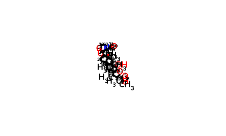 C[C@@H]1CC([C@@H]2OCOC2(C)C)OC2[C@H]1[C@@]1(C)CC[C@@]34C[C@@]35CCC(O[C@H]3CN(C6COC6)CCO3)C(C)(C)[C@@H]5CCC4[C@]1(C)[C@H]2O